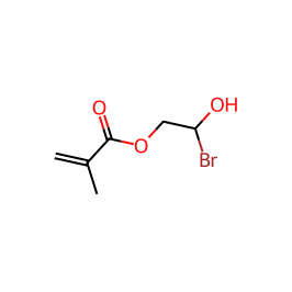 C=C(C)C(=O)OCC(O)Br